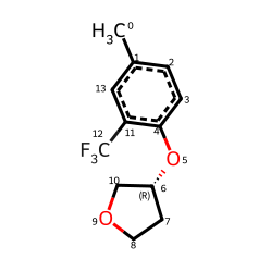 Cc1ccc(O[C@@H]2CCOC2)c(C(F)(F)F)c1